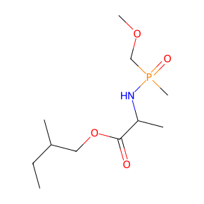 CCC(C)COC(=O)C(C)NP(C)(=O)COC